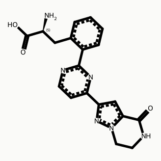 N[C@@H](Cc1ccccc1-c1nccc(-c2cc3n(n2)CCNC3=O)n1)C(=O)O